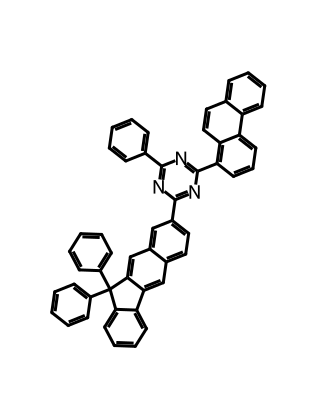 c1ccc(-c2nc(-c3ccc4cc5c(cc4c3)C(c3ccccc3)(c3ccccc3)c3ccccc3-5)nc(-c3cccc4c3ccc3ccccc34)n2)cc1